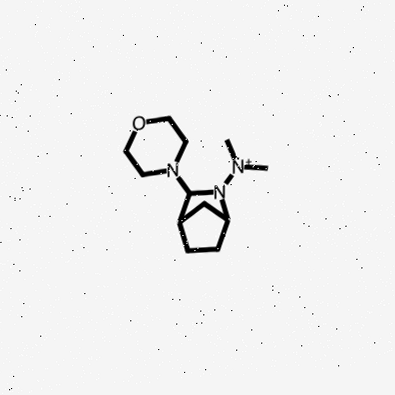 C[N+](C)N1C2CCC(C2)C1N1CCOCC1